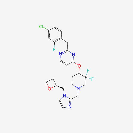 Fc1cc(Cl)ccc1Cc1nccc(OC2CCN(Cc3nccn3C[C@@H]3CCO3)CC2(F)F)n1